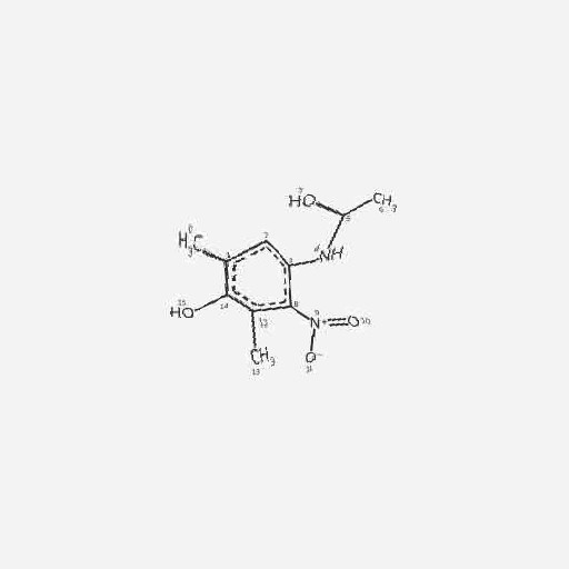 Cc1cc(NC(C)O)c([N+](=O)[O-])c(C)c1O